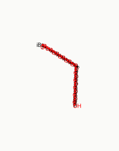 CCC(C)C(=O)OCCOCCOCCOCCOCCOCCOCCOCCOCCOCCOC(C)COCCOCCOCCOCCOCCOCCOCCOCCOCCOCCO